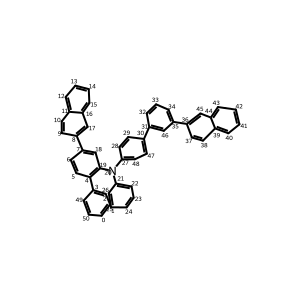 c1ccc(-c2ccc(-c3ccc4ccccc4c3)cc2N(c2ccccc2)c2ccc(-c3cccc(-c4ccc5ccccc5c4)c3)cc2)cc1